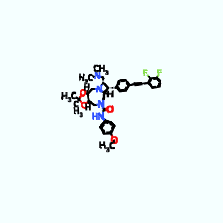 COc1ccc(NC(=O)N2C[C@@H]3OC(C)(C)O[C@@H]3CN3[C@H](CN(C)C)[C@H](c4ccc(C#Cc5cccc(F)c5F)cc4)[C@@H]3C2)cc1